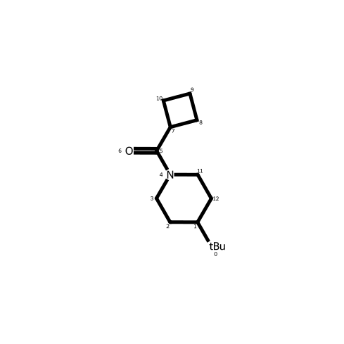 CC(C)(C)C1CCN(C(=O)C2CCC2)CC1